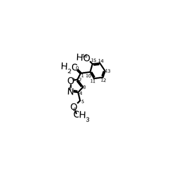 C=C(c1cc(COC)no1)c1ccccc1O